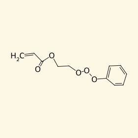 C=CC(=O)OCCOOOc1ccccc1